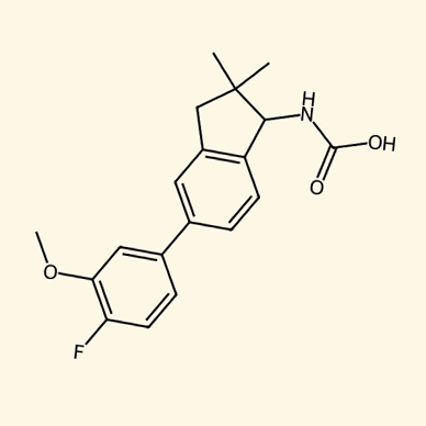 COc1cc(-c2ccc3c(c2)CC(C)(C)C3NC(=O)O)ccc1F